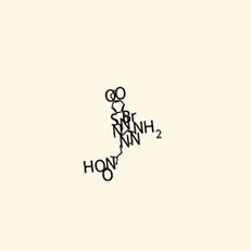 Nc1ncn(CCC2CN(C(=O)O)C2)c2nc(Sc3cc4c(cc3Br)OCO4)nc1-2